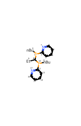 CCCCP(c1ccccn1)C(CC)P(CCCC)c1ccccn1